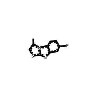 Cc1csc2nc3cc(F)ccc3n12